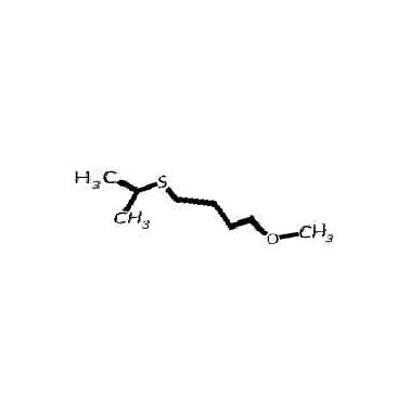 COCCCCSC(C)C